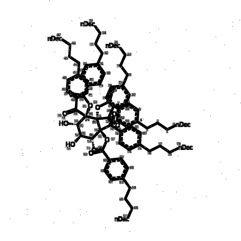 CCCCCCCCCCCCCc1ccc(C(=O)O[C@@]2(C(=O)c3ccc(CCCCCCCCCCCCC)cc3)[C@@](OC(=O)c3ccc(CCCCCCCCCCCCC)cc3)(C(=O)c3ccc(CCCCCCCCCCCCC)cc3)[C@@H](O)[C@H](O)[C@@H](O)[C@@]2(OC(=O)c2ccc(CCCCCCCCCCCCC)cc2)C(=O)c2ccc(CCCCCCCCCCCCC)cc2)cc1